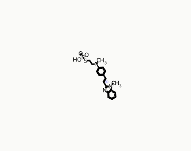 CN(CCSS(=O)(=O)O)c1ccc(/C=C/c2nc3ccccc3n2C)cc1